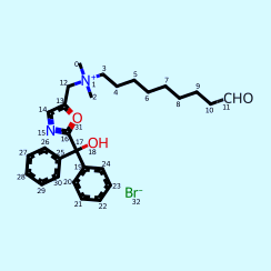 C[N+](C)(CCCCCCCCC=O)Cc1cnc(C(O)(c2ccccc2)c2ccccc2)o1.[Br-]